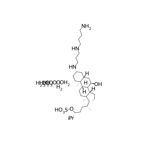 CC(C)[C@@H](CC[C@@H](C)[C@H]1CC[C@H]2[C@@H]3[C@H](O)C[C@H]4C[C@@H](NCCCNCCCCN)CC[C@]4(C)[C@H]3CC[C@]12C)OS(=O)(=O)O.O.O.O.O.O.O